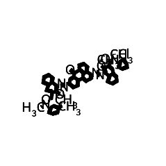 COc1c(CON(C)c2cccc(C)c2)cc2ccccc2c1N=Nc1ccc2c(c1)C(=O)c1cccc3c(N=Nc4c(OC)c(C(=O)N(C)c5ccccc5Cl)cc5ccccc45)ccc-2c13